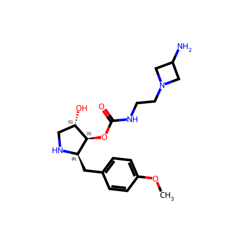 COc1ccc(C[C@H]2NC[C@H](O)[C@H]2OC(=O)NCCN2CC(N)C2)cc1